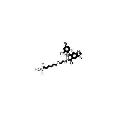 Cn1cnc2c(F)c(Nc3ccc(Br)cc3Cl)c(C(=O)NOCCOCCCCCC(=O)NO)cc21